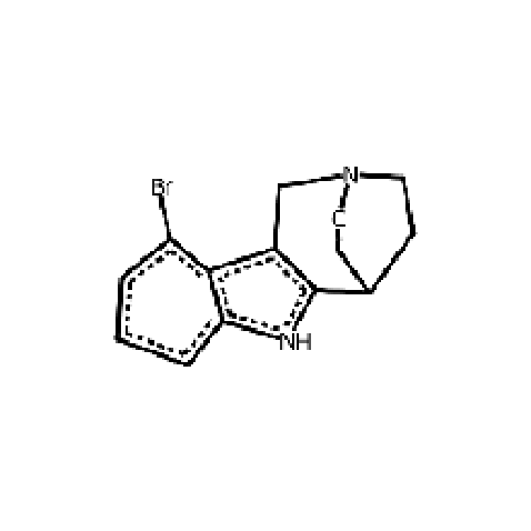 Brc1cccc2[nH]c3c(c12)CN1CCC3CC1